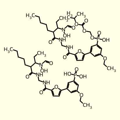 CCCCCC(C(=O)NCNC(=O)c1ccc(-c2cc(OCC)cc(P(=O)(O)O)c2)o1)C(CC)N(O)C=O.CCCCCC(C(=O)NCNC(=O)c1ccc(-c2cc(OCC)cc(P(=O)(O)OCOC(=O)OC(C)C)c2)o1)C(CC)N(O)C=O